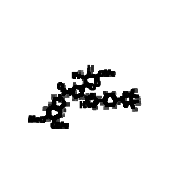 COC(=O)NC(C(=O)N1CN(C(=O)N2Cc3cc(OC)c(OC)cc3C2)C[C@H]1c1nc(-c2ccc(B3OC(C)(C)C(C)(C)O3)cc2)c[nH]1)C(C)C